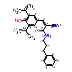 CC(C)c1cc(/C=C(/C#N)C(=S)NCCCc2ccccc2)cc(C(C)C)c1O